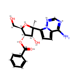 C[C@@]1(c2ccc3c(N)ncnn23)O[C@H](CO)[C@@H](OC(=O)c2ccccc2)[C@H]1O